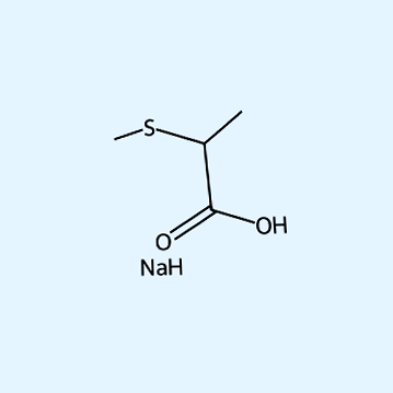 CSC(C)C(=O)O.[NaH]